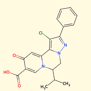 CC(C)C1Cn2nc(-c3ccccc3)c(Cl)c2-c2cc(=O)c(C(=O)O)cn21